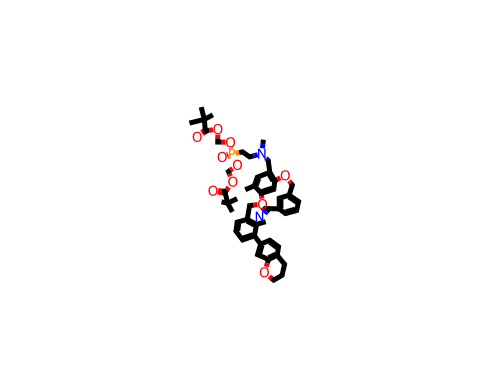 Cc1cc(CN(C)CCP(=O)(OCOC(=O)C(C)(C)C)OCOC(=O)C(C)(C)C)c(OCc2cccc(C#N)c2)cc1OCc1cccc(-c2ccc3c(c2)OCCC3)c1C